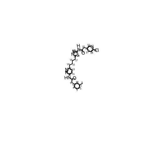 Cc1cccc(CC(=O)Nc2ccc(CCCCc3nnc(NC(=O)Cc4ccc(Cl)nc4)s3)nn2)c1